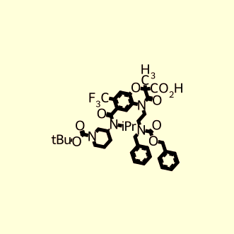 CC(C)N(C(=O)c1cc2c(cc1C(F)(F)F)OC(C)(C(=O)O)C(=O)N2CCN(Cc1ccccc1)C(=O)OCc1ccccc1)[C@@H]1CCCN(C(=O)OC(C)(C)C)C1